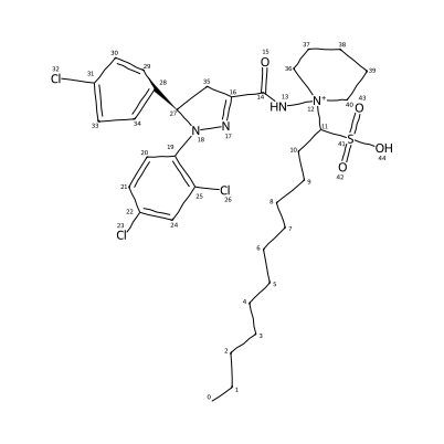 CCCCCCCCCCCC([N+]1(NC(=O)C2=NN(c3ccc(Cl)cc3Cl)[C@@H](c3ccc(Cl)cc3)C2)CCCCC1)S(=O)(=O)O